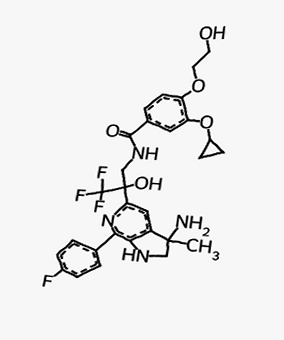 CC1(N)CNc2c1cc(C(O)(CNC(=O)c1ccc(OCCO)c(OC3CC3)c1)C(F)(F)F)nc2-c1ccc(F)cc1